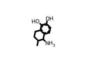 CC1CCc2c(ccc(O)c2O)C1N